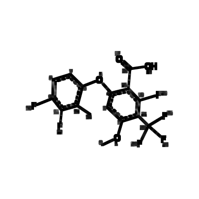 COc1cc(Oc2ccc(F)c(F)c2C)c(C(=O)O)c(F)c1C(F)(F)F